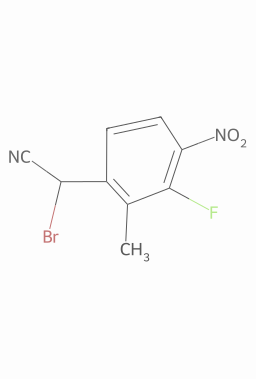 Cc1c(C(Br)C#N)ccc([N+](=O)[O-])c1F